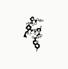 C[C@H](NC(=O)[C@@H]1C[C@@H](F)CN1C(=O)CNC(=O)c1ccc2cc(F)ccc2n1)c1cc(NC(=O)[C@H]2CCCN2C(=O)OC(C)(C)C)ccc1/C=C/C1CC1